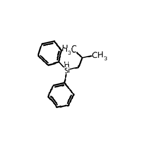 CC(C)C[SiH](c1ccccc1)c1ccccc1